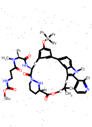 CCc1ncccc1-c1c2c3cc(ccc3n1CC)-c1cc(cc(O[Si](C(C)C)(C(C)C)C(C)C)c1)C[C@H](NC(=O)[C@H](C(C)C)N(C)C(=O)CCNC(=O)OC(C)(C)C)C(=O)N1CCC[C@H](N1)C(=O)OCC(C)(C)C2